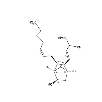 CCCCCC(O)/C=C/[C@@H]1[C@H](C/C=C\CCCC(=O)O)[C@H]2O[C@@H]1C[C@H]2O